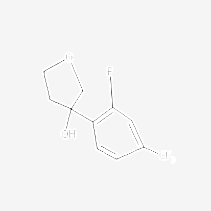 OC1(c2ccc(C(F)(F)F)cc2F)CCOC1